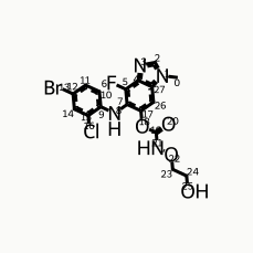 Cn1cnc2c(F)c(Nc3ccc(Br)cc3Cl)c(OC(=O)NOCCO)cc21